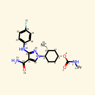 CC(C)NC(=O)O[C@@H]1CC[C@@H](n2cc(C(N)=O)c(Nc3ccc(F)cc3)n2)[C@H](C#N)C1